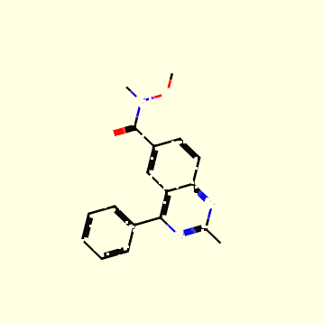 CON(C)C(=O)c1ccc2nc(C)nc(-c3ccccc3)c2c1